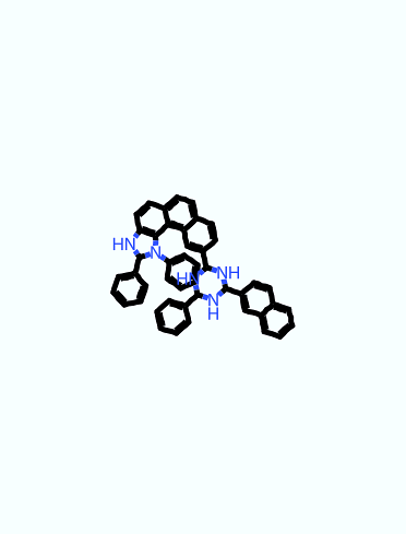 c1ccc(C2NC(c3ccc4ccccc4c3)NC(c3ccc4ccc5ccc6c(c5c4c3)N(c3ccccc3)C(c3ccccc3)N6)N2)cc1